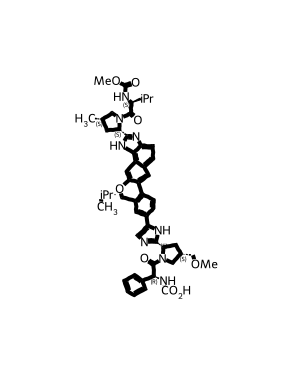 COC[C@H]1C[C@@H](c2ncc(-c3ccc4c(c3)COc3cc5c(ccc6nc([C@@H]7C[C@H](C)CN7C(=O)[C@@H](NC(=O)OC)C(C)C)[nH]c65)cc3-4)[nH]2)N(C(=O)[C@H](NC(=O)O)c2ccccc2)C1.C[C](C)C